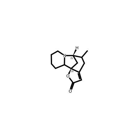 CC1CC2=CC(=O)O[C@@]23C[C@@H]1N1CCCCC13